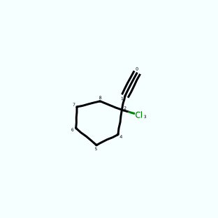 C#CC1(Cl)CCCCC1